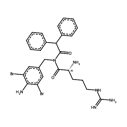 N=C(N)NCCC[C@@H](N)C(=O)N(Cc1cc(Br)c(N)c(Br)c1)C(=O)C(c1ccccc1)c1ccccc1